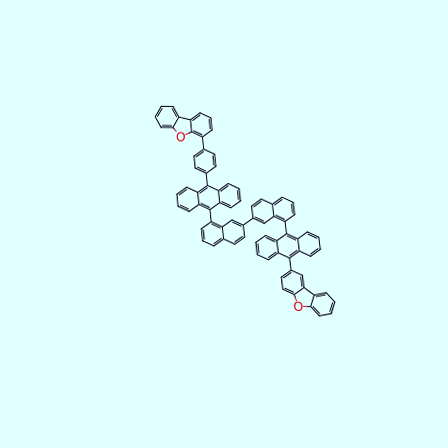 c1cc(-c2c3ccccc3c(-c3ccc(-c4cccc5c4oc4ccccc45)cc3)c3ccccc23)c2cc(-c3ccc4cccc(-c5c6ccccc6c(-c6ccc7oc8ccccc8c7c6)c6ccccc56)c4c3)ccc2c1